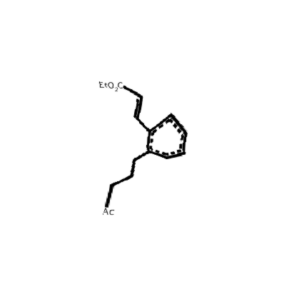 CCOC(=O)/C=C/c1ccccc1CCCC(C)=O